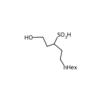 CCCCCCCCC(CCO)S(=O)(=O)O